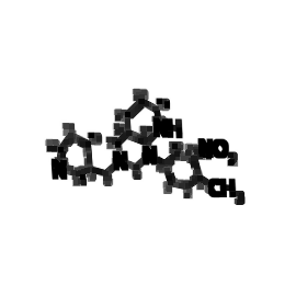 Cc1ccc(N2CN(Cc3cccnc3)CC3=C2NCC=C3)cc1[N+](=O)[O-]